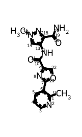 Cc1ncccc1-c1nc(C(=O)Nc2cn(C)nc2C(N)=O)co1